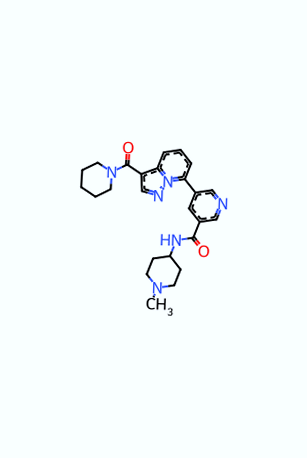 CN1CCC(NC(=O)c2cncc(-c3cccc4c(C(=O)N5CCCCC5)cnn34)c2)CC1